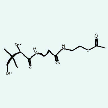 CC(=O)SCCNC(=O)CCNC(=O)C(O)C(C)(C)CO